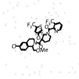 CCC[C@H]1N(C(=O)c2ncccc2C(F)(F)F)CCC[C@@]1(Oc1csc(C(F)(F)F)c1)C(=O)N1CCc2cc(Cl)ccc2C1COC